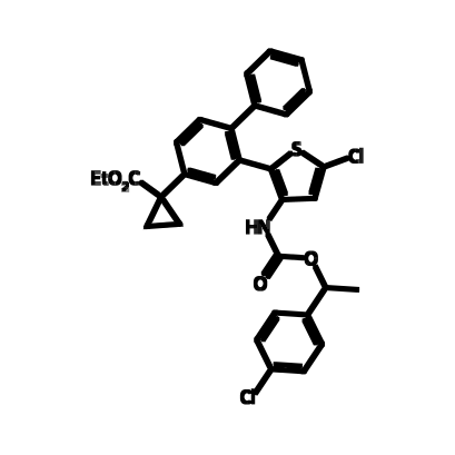 CCOC(=O)C1(c2ccc(-c3ccccc3)c(-c3sc(Cl)cc3NC(=O)OC(C)c3ccc(Cl)cc3)c2)CC1